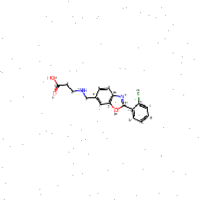 O=C(O)CCNCc1ccc2nc(-c3ccccc3F)oc2c1